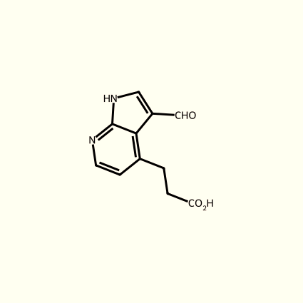 O=Cc1c[nH]c2nccc(CCC(=O)O)c12